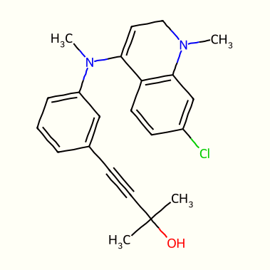 CN1CC=C(N(C)c2cccc(C#CC(C)(C)O)c2)c2ccc(Cl)cc21